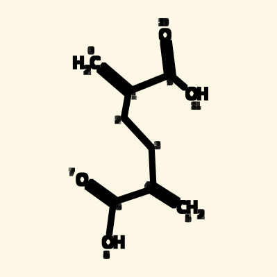 C=C(CCC(=C)C(=O)O)C(=O)O